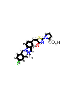 O=C1N=C(N2CCCC2C(=O)O)SC1=Cc1ccc2c(cnn2Cc2ccc(Cl)cc2C(F)(F)F)c1